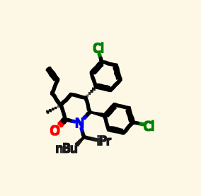 C=CC[C@@]1(C)C[C@H](c2cccc(Cl)c2)[C@@H](c2ccc(Cl)cc2)N([C@H](CCCC)C(C)C)C1=O